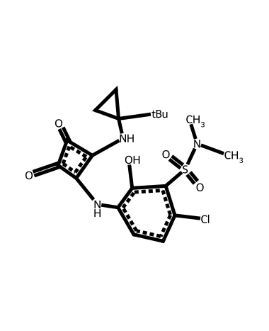 CN(C)S(=O)(=O)c1c(Cl)ccc(Nc2c(NC3(C(C)(C)C)CC3)c(=O)c2=O)c1O